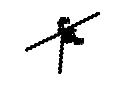 CCCCCCCCCCCCCCCCCCC(CCCCCCCCCCCCCCCCCC)C(CCCCCCCCCCCCCCCCCC)(C(=S)OCC(C)(CO)CO)C(CCCC)(CCCC)C(CCCC)(CCCC)C(=S)OCC(CO)(CO)CO